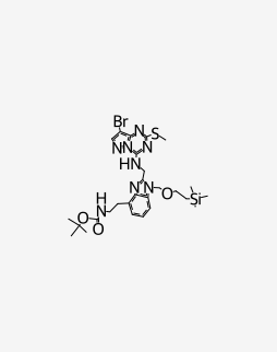 CSc1nc(NCc2nc3c(CCNC(=O)OC(C)(C)C)cccc3n2COCC[Si](C)(C)C)n2ncc(Br)c2n1